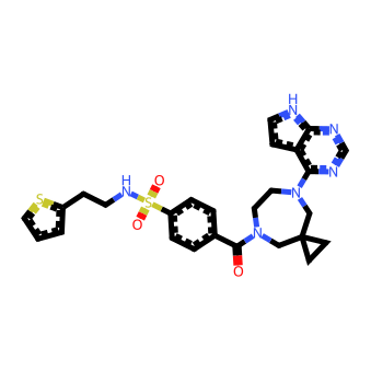 O=C(c1ccc(S(=O)(=O)NCCc2cccs2)cc1)N1CCN(c2ncnc3[nH]ccc23)CC2(CC2)C1